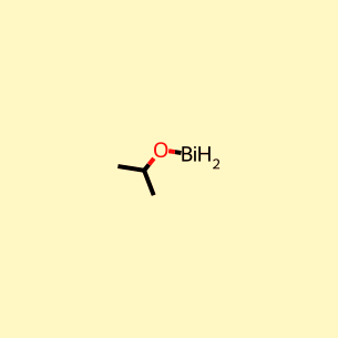 CC(C)[O][BiH2]